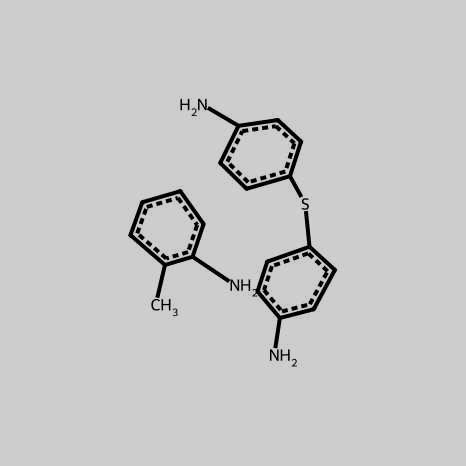 Cc1ccccc1N.Nc1ccc(Sc2ccc(N)cc2)cc1